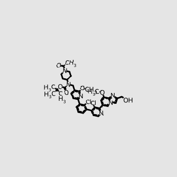 COc1nc(-c2cccc(-c3ccnc(-c4cc(OC)c5nc(CO)cn5c4)c3Cl)c2Cl)ccc1CN(C(=O)OC(C)(C)C)C1CCN(C(C)=O)CC1